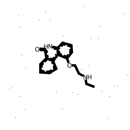 CCNCCOc1cccc2[nH]c(=O)c3ccccc3c12